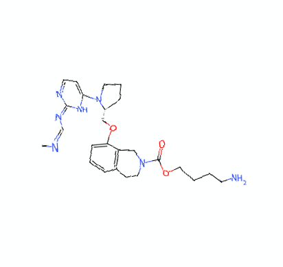 C/N=C\N=c1\nccc(N2CCC[C@@H]2COc2cccc3c2CN(C(=O)OCCCCN)CC3)[nH]1